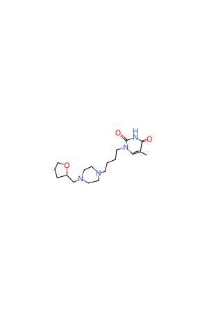 Cc1cn(CCCCN2CCN(CC3CCCO3)CC2)c(=O)[nH]c1=O